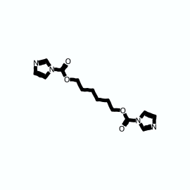 O=C(OCCCCCCOC(=O)n1ccnc1)n1ccnc1